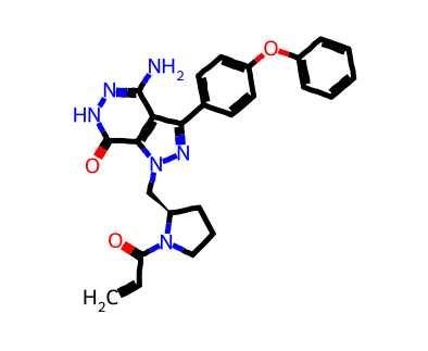 C=CC(=O)N1CCC[C@@H]1Cn1nc(-c2ccc(Oc3ccccc3)cc2)c2c(N)n[nH]c(=O)c21